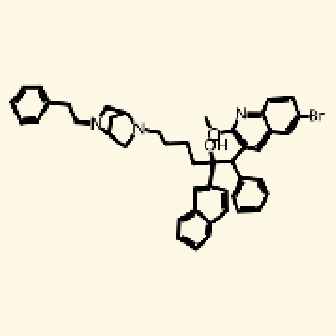 COc1nc2ccc(Br)cc2cc1C(c1ccccc1)C(O)(CCCCN1CC2CC1CN2CCc1ccccc1)c1ccc2ccccc2c1